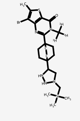 [2H]C([2H])([2H])n1c(C23CCC(C4CN(C[Si](C)(C)C)NN4)(CC2)CC3)nc2c(Br)c(C)sc2c1=O